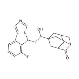 O=C1C2CC3CC1CC(C(O)CC1c4c(F)cccc4-c4cncn41)(C3)C2